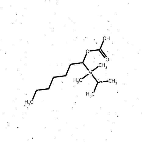 CCCCCCC(OC(=O)O)[Si](C)(C)C(C)C